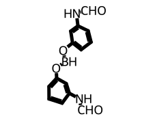 O=CNc1cccc(OBOc2cccc(NC=O)c2)c1